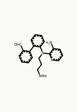 CNCCCN(c1ccccc1-c1ccccc1C=O)c1ncccc1N